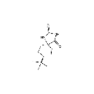 CC(C)(C)[C@H]1CC[C@]2(CC1)NC(=O)NC2=O